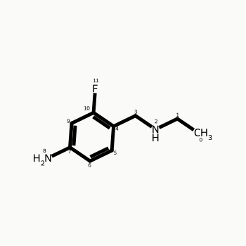 CCNCc1ccc(N)cc1F